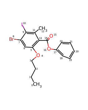 CCCCOc1cc(Br)c(I)c(C)c1C(=O)Oc1ccccc1